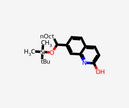 CCCCCCCCC(O[Si](C)(C)C(C)(C)C)c1ccc2ccc(O)nc2c1